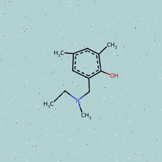 CCN(C)Cc1cc(C)cc(C)c1O